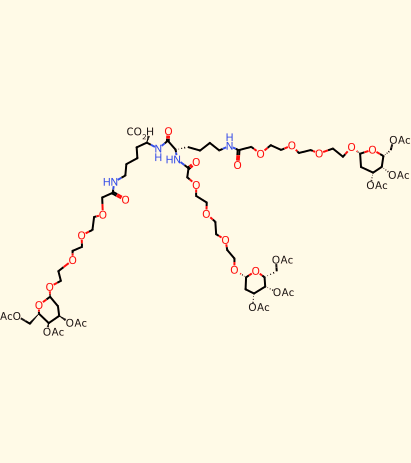 CC(=O)OC[C@H]1O[C@@H](OCCOCCOCCOCC(=O)NCCCC[C@H](NC(=O)[C@H](CCCCNC(=O)COCCOCCOCCO[C@H]2C[C@@H](OC(C)=O)[C@@H](OC(C)=O)[C@@H](COC(C)=O)O2)NC(=O)COCCOCCOCCO[C@H]2C[C@@H](OC(C)=O)[C@@H](OC(C)=O)[C@@H](COC(C)=O)O2)C(=O)O)C[C@@H](OC(C)=O)[C@H]1OC(C)=O